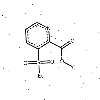 CCS(=O)(=O)c1cccnc1C(=O)OCl